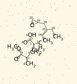 C=C(C)C(=O)O.C=C(C)C(=O)OC.CC=C(CC)CC1CO1